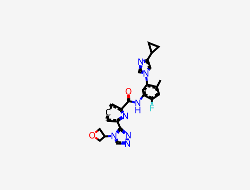 Cc1cc(F)c(NC(=O)c2cccc(-c3nncn3C3COC3)n2)cc1-n1cnc(C2CC2)c1